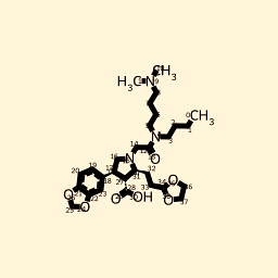 CCCCN(CCCCN(C)C)C(=O)CN1C[C@H](c2ccc3c(c2)OCO3)[C@@H](C(=O)O)[C@@H]1CCC1OCCO1